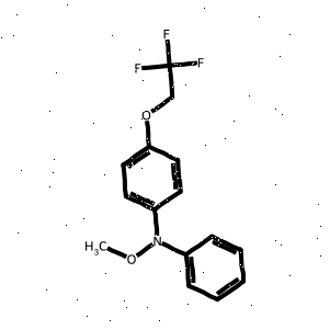 CON(c1ccccc1)c1ccc(OCC(F)(F)F)cc1